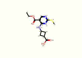 CCOC(=O)c1cnc(SC)nc1NC1CC(C(=O)O)C1